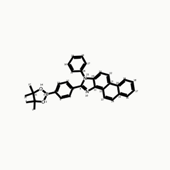 CC1(C)OB(c2ccc(-c3nc4c5ccc6ccccc6c5ccc4n3-c3ccccc3)cc2)OC1(C)C